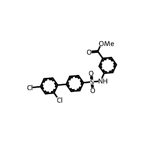 COC(=O)c1cccc(NS(=O)(=O)c2ccc(-c3ccc(Cl)cc3Cl)cc2)c1